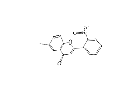 Cc1ccc2oc(-c3ccccc3[N+](=O)[O-])cc(=O)c2c1